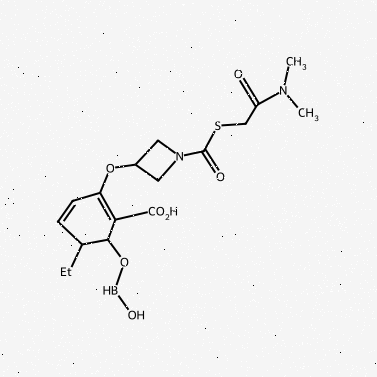 CCC1C=CC(OC2CN(C(=O)SCC(=O)N(C)C)C2)=C(C(=O)O)C1OBO